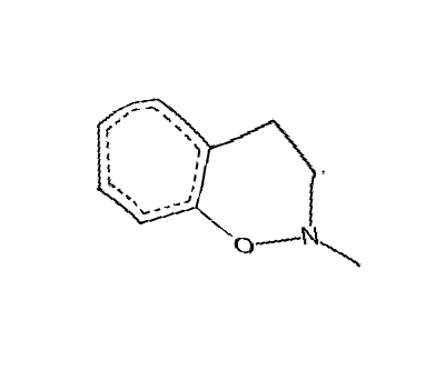 CN1[CH]Cc2ccccc2O1